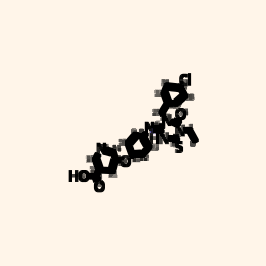 CCn1c(=S)[nH]/c(=N\c2ccc(Oc3cncc(C(=O)O)c3)cc2)n(Cc2ccc(Cl)cc2)c1=O